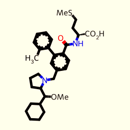 COC(C1CCCCC1)C1CCCN1Cc1ccc(C(=O)N[C@@H](CCSC)C(=O)O)c(-c2ccccc2C)c1